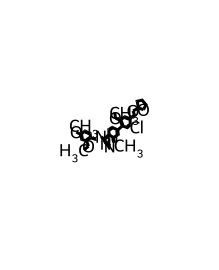 COc1ccc(CNc2nnc(C)c3cc(-c4cc(Cl)c(COC5CCCO5)cc4OC)ccc23)c(OC)c1